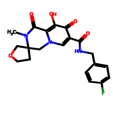 CN1C(=O)c2c(O)c(=O)c(C(=O)NCc3ccc(F)cc3)cn2CC12CCOC2